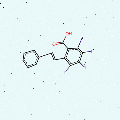 O=C(O)c1c(I)c(I)c(I)c(I)c1/C=C/c1ccccc1